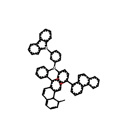 CC1C=CC=C2C=Cc3c(-c4ccccc4N(c4ccc(-c5cccc6c5ccc5ccccc56)cc4)c4cccc(-n5c6ccccc6c6ccccc65)c4)cccc3C21